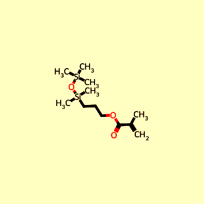 C=C(C)C(=O)OCCC[Si](C)(C)O[Si](C)(C)C